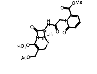 COC(=O)c1cccc(=O)n1CC(=O)N[C@@H]1C(=O)N2C(C(=O)O)=C(COC(C)=O)CS[C@H]12